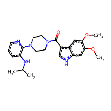 COc1cc2[nH]cc(C(=O)N3CCN(c4ncccc4NC(C)C)CC3)c2cc1OC